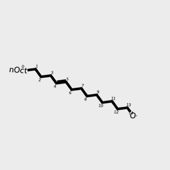 CCCCCCCCCCCC=CCCCCCCCC[O]